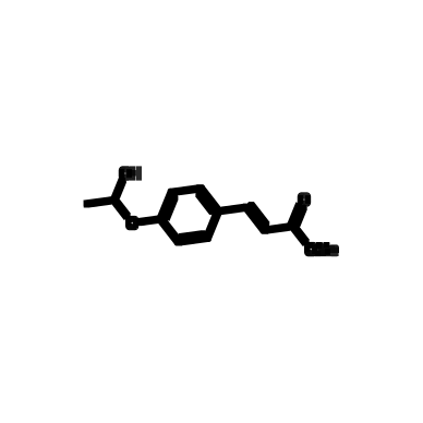 COC(=O)/C=C/c1ccc(OC(C)O)cc1